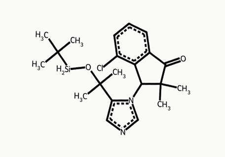 CC(C)(C)[SiH2]OC(C)(C)c1cncn1C1c2c(Cl)cccc2C(=O)C1(C)C